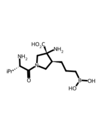 CC(C)[C@H](N)C(=O)N1C[C@H](CCCB(O)O)[C@](N)(C(=O)O)C1